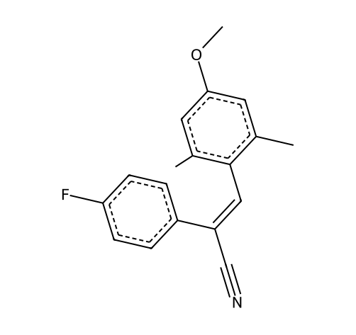 COc1cc(C)c(/C=C(/C#N)c2ccc(F)cc2)c(C)c1